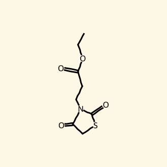 CCOC(=O)CCN1C(=O)CSC1=O